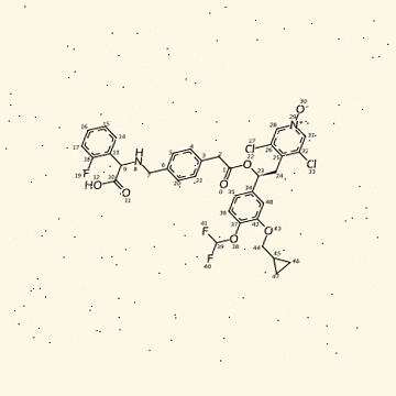 O=C(Cc1ccc(CNC(C(=O)O)c2ccccc2F)cc1)O[C@@H](Cc1c(Cl)c[n+]([O-])cc1Cl)c1ccc(OC(F)F)c(OCC2CC2)c1